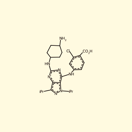 CC(C)c1nn(C(C)C)c2c(Nc3ccc(C(=O)O)c(Cl)c3)nc(NC3CCC(N)CC3)nc12